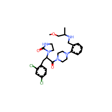 COCC(C)NCc1ccccc1N1CCN(C(=O)C(Cc2ccc(Cl)cc2Cl)N2CCNC2=O)CC1